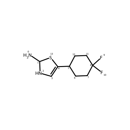 NC1NC=C(C2CCC(F)(F)CC2)S1